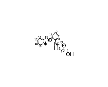 OC[C@@H]1CC[C@@H](Nc2ccccc2OCc2ccccn2)CO1